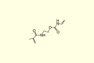 C=CNC(=O)OCCNC(=O)C(=C)C